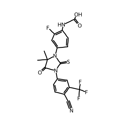 CC1(C)C(=O)N(c2ccc(C#N)c(C(F)(F)F)c2)C(=S)N1c1ccc(NC(=O)O)c(F)c1